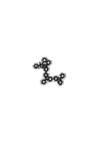 c1ccc(C2=NC(c3ccccc3)=C3C(N2)c2cc(-c4ccc5c(c4)c4cc(-c6ccc7c(c6)c6ccccc6n7-c6ccccc6)ccc4n5-c4ccccc4)ccc2N3c2ccccc2)cc1